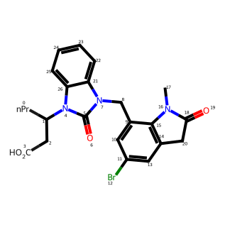 CCCC(CC(=O)O)n1c(=O)n(Cc2cc(Br)cc3c2N(C)C(=O)C3)c2ccccc21